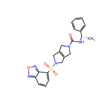 C[C@H](NC(=O)N1CC2=C(C1)CN(S(=O)(=O)c1cccc3nonc13)C2)c1ccccc1